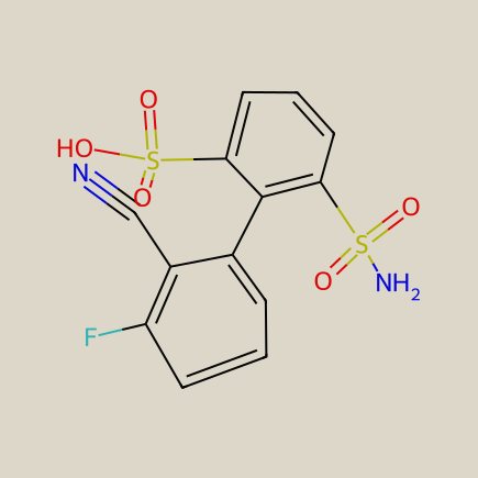 N#Cc1c(F)cccc1-c1c(S(N)(=O)=O)cccc1S(=O)(=O)O